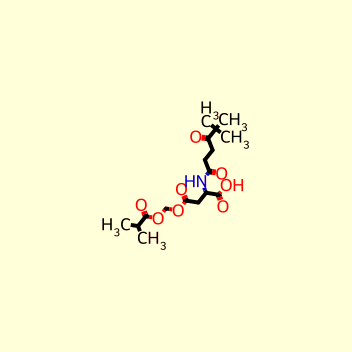 CC(C)C(=O)OCOC(=O)CC(NC(=O)CCC(=O)C(C)(C)C)C(=O)O